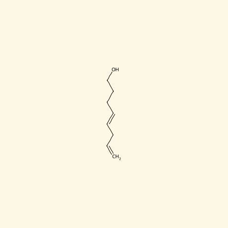 C=CCC=CCCCO